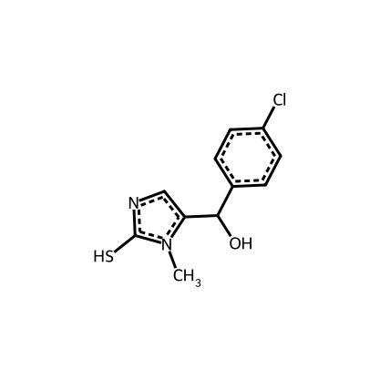 Cn1c(C(O)c2ccc(Cl)cc2)cnc1S